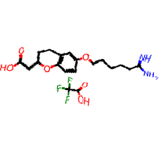 N=C(N)CCCCCOc1ccc2c(c1)CCC(CC(=O)O)O2.O=C(O)C(F)(F)F